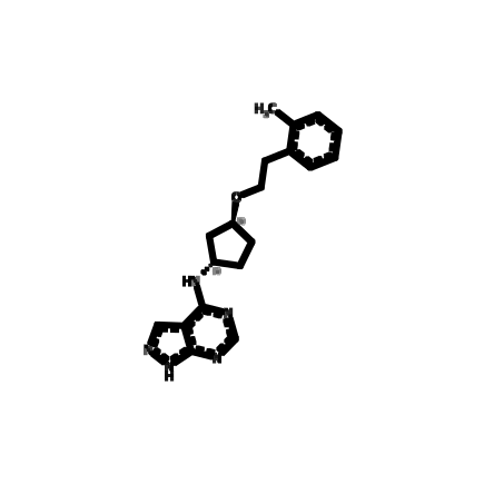 Cc1ccccc1CCO[C@H]1CC[C@H](Nc2ncnc3[nH]ncc23)C1